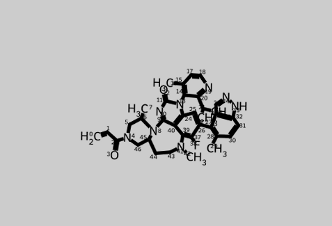 C=CC(=O)N1CC(C)N2c3nc(=O)n(-c4c(C)ccnc4C(C)C)c4cc(-c5c(C)ccc6[nH]ncc56)c(F)c(c34)N(C)CCC2C1